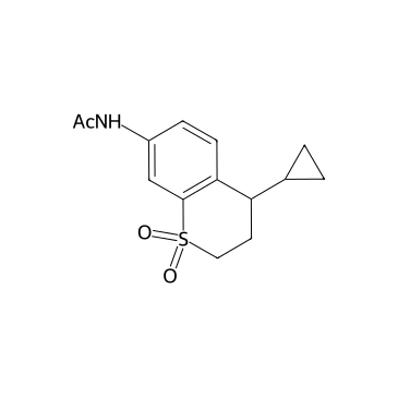 CC(=O)Nc1ccc2c(c1)S(=O)(=O)CCC2C1CC1